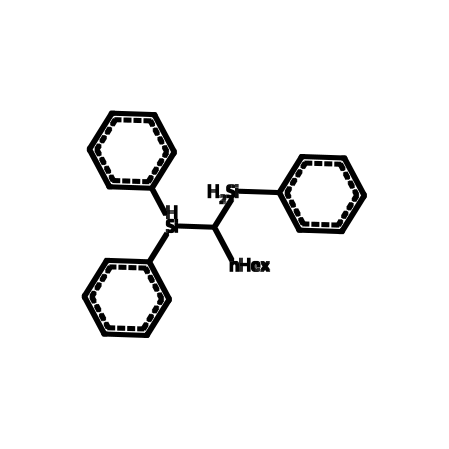 CCCCCCC([SiH2]c1ccccc1)[SiH](c1ccccc1)c1ccccc1